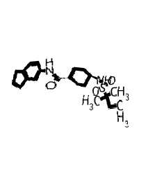 CCC(C)(C)S(=O)(=O)N[C@H]1CC[C@H](C(=O)Nc2ccc3c(c2)CCC3)CC1